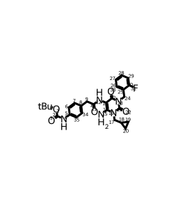 CC(C)(C)OC(=O)Nc1ccc(CC(=O)Nc2c(N)n(CC3CC3)c(=O)n(Cc3ccccc3F)c2=O)cc1